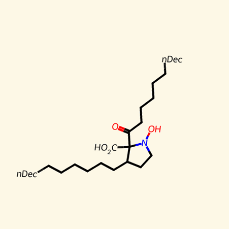 CCCCCCCCCCCCCCCCC1CCN(O)C1(C(=O)O)C(=O)CCCCCCCCCCCCCCC